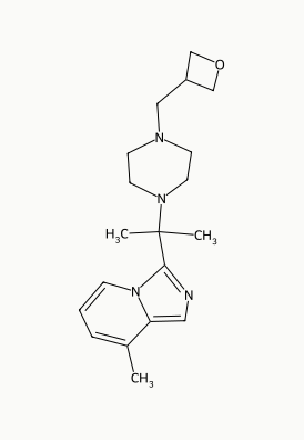 Cc1cccn2c(C(C)(C)N3CCN(CC4COC4)CC3)ncc12